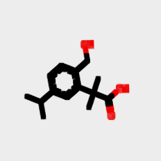 CC(C)c1ccc(CO)c(C(C)(C)C(=O)O)c1